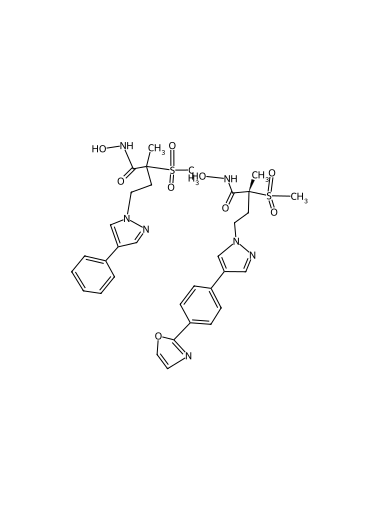 CC(CCn1cc(-c2ccccc2)cn1)(C(=O)NO)S(C)(=O)=O.C[C@@](CCn1cc(-c2ccc(-c3ncco3)cc2)cn1)(C(=O)NO)S(C)(=O)=O